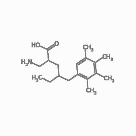 CCC(Cc1cc(C)c(C)c(C)c1C)CC(CN)C(=O)O